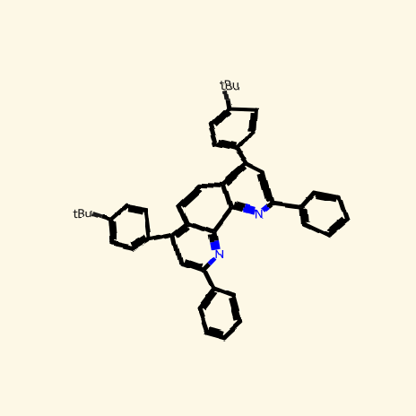 CC(C)(C)c1ccc(-c2cc(-c3ccccc3)nc3c2ccc2c(-c4ccc(C(C)(C)C)cc4)cc(-c4ccccc4)nc23)cc1